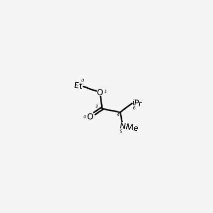 CCOC(=O)C(NC)C(C)C